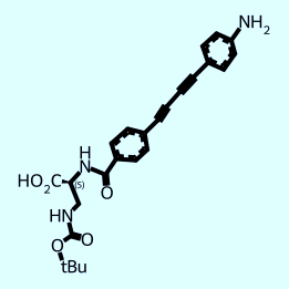 CC(C)(C)OC(=O)NC[C@H](NC(=O)c1ccc(C#CC#Cc2ccc(N)cc2)cc1)C(=O)O